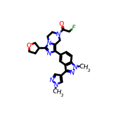 Cn1cc(-c2nn(C)c3ccc(-c4nc(C5CCOC5)n5c4CN(C(=O)CF)CC5)cc23)cn1